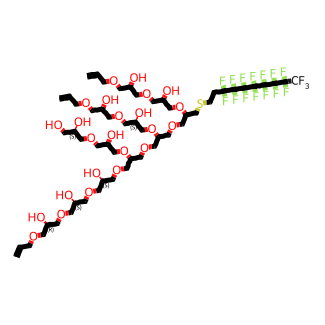 C=CCOCC(O)COCC(O)COC(COCC(COCC(COC[C@@H](O)COC[C@@H](O)COC[C@H](O)COCC=C)OCC(O)COC[C@@H](O)CO)OC[C@@H](O)COCC(O)COCC=C)CSCCC(F)(F)C(F)(F)C(F)(F)C(F)(F)C(F)(F)C(F)(F)C(F)(F)C(F)(F)F